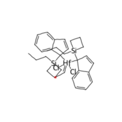 C[CH]=[Hf]([Cl])([Cl])([C]1([Si]2(CCC)CCC2)C=Cc2ccccc21)[C]1([Si]2(CCC)CCC2)C=Cc2ccccc21